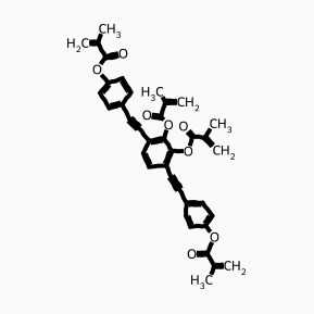 C=C(C)C(=O)Oc1ccc(C#Cc2ccc(C#Cc3ccc(OC(=O)C(=C)C)cc3)c(OC(=O)C(=C)C)c2OC(=O)C(=C)C)cc1